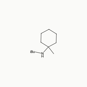 CCC(C)NC1(C)CCCCC1